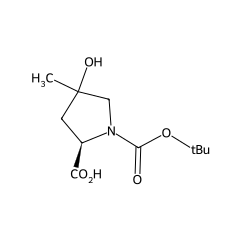 CC1(O)C[C@H](C(=O)O)N(C(=O)OC(C)(C)C)C1